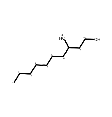 CCCCCCCC(O)CCO